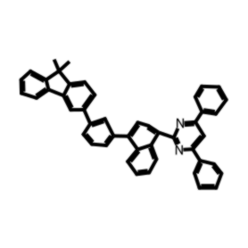 CC1(C)c2ccccc2-c2cc(-c3cccc(-c4ccc(-c5nc(-c6ccccc6)cc(-c6ccccc6)n5)c5ccccc45)c3)ccc21